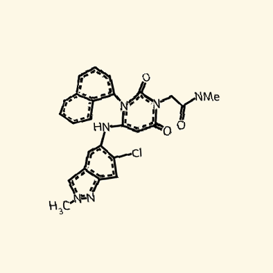 CNC(=O)Cn1c(=O)cc(Nc2cc3cn(C)nc3cc2Cl)n(-c2cccc3ccccc23)c1=O